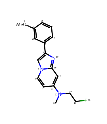 COc1cccc(-c2cn3ccc(N(C)CCF)cc3n2)c1